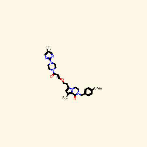 COc1ccc(CN2CCn3c(CCO/C=C/C(=O)N4CCN(c5ncc(C(F)(F)F)cn5)CC4)cc(C(F)(F)F)c3C2=O)cc1